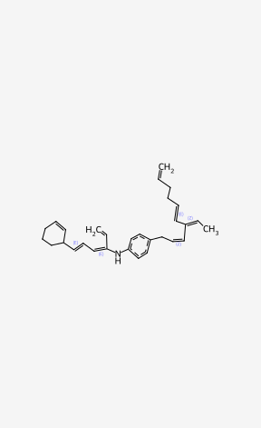 C=CCC/C=C/C(/C=C\Cc1ccc(N/C(C=C)=C/C=C/C2C=CCCC2)cc1)=C/C